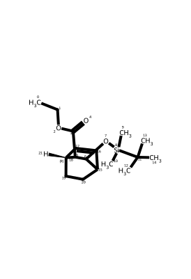 CCOC(=O)C1C(O[Si](C)(C)C(C)(C)C)C2C=C[C@H]1CC2